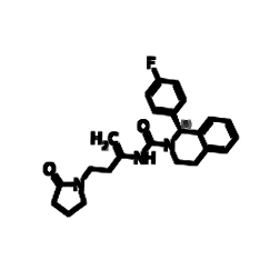 C=C(CCN1CCCC1=O)NC(=O)N1CCc2ccccc2[C@@H]1c1ccc(F)cc1